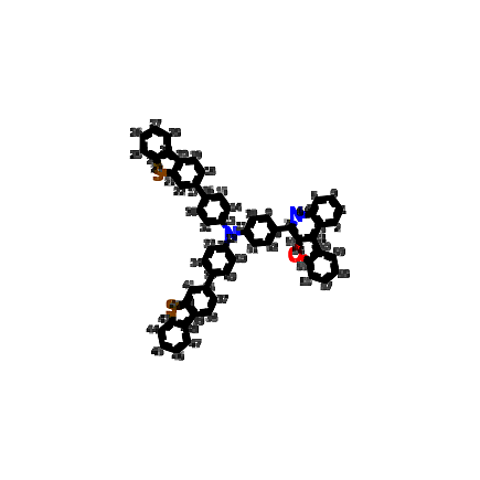 c1ccc2c(c1)nc(-c1ccc(N(c3ccc(-c4ccc5c(c4)sc4ccccc45)cc3)c3ccc(-c4ccc5c(c4)sc4ccccc45)cc3)cc1)c1oc3ccccc3c12